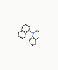 Cc1ccccc1N(c1cccc2ccccc12)C(C)C